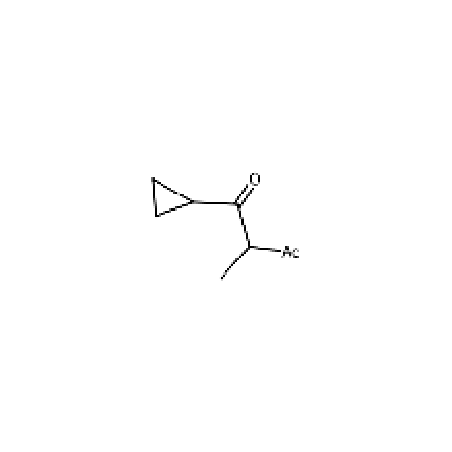 CC(=O)C(C)C(=O)C1CC1